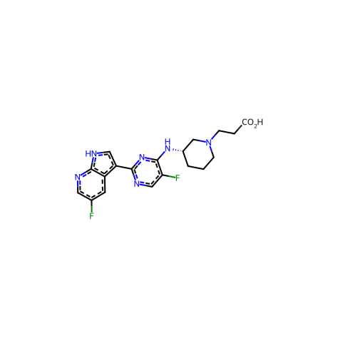 O=C(O)CCN1CCC[C@H](Nc2nc(-c3c[nH]c4ncc(F)cc34)ncc2F)C1